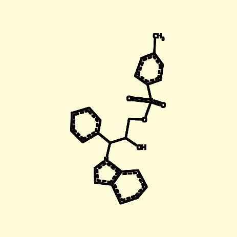 Cc1ccc(S(=O)(=O)OCC(O)C(c2ccccc2)n2ccc3ccccc32)cc1